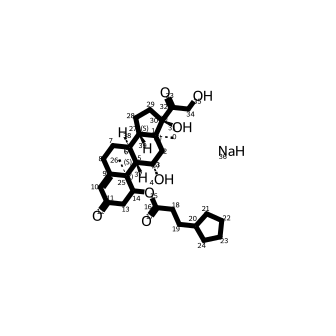 C[C@]12C[C@H](O)[C@H]3[C@@H](CCC4=CC(=O)CC(OC(=O)CCC5CCCC5)[C@@]43C)[C@@H]1CC[C@]2(O)C(=O)CO.[NaH]